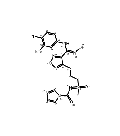 CS(=O)(CCNc1nonc1/C(=N/O)Nc1ccc(F)c(Br)c1)=NC(=O)n1ccnc1